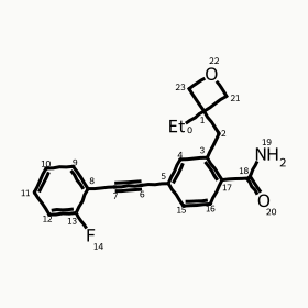 CCC1(Cc2cc(C#Cc3ccccc3F)ccc2C(N)=O)COC1